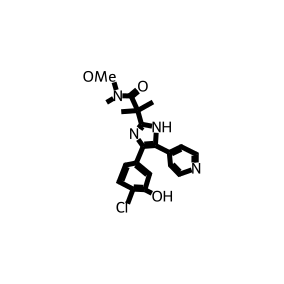 CON(C)C(=O)C(C)(C)c1nc(-c2ccc(Cl)c(O)c2)c(-c2ccncc2)[nH]1